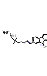 CC(C)(CCC/C=C/c1ccc2c(c1)/C(=N/O)c1ccccc1-2)CNC=O